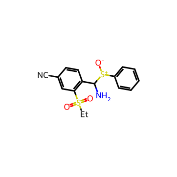 CCS(=O)(=O)c1cc(C#N)ccc1C(N)[S+]([O-])c1ccccc1